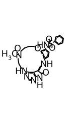 CN1CCCNc2ncnc3c2/C(=C/Nc2ccc(NS(=O)(=O)c4ccccc4)c(c2)OCCCC1=O)C(=O)N3